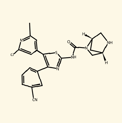 Cc1cc(-c2sc(NC(=O)N3C[C@@H]4C[C@H]3CN4)nc2-c2cccc(C#N)c2)cc(Cl)n1